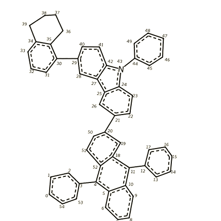 c1ccc(-c2c3ccccc3c(-c3ccccc3)c3cc(-c4ccc5c(c4)c4cc(-c6cccc7c6CCCC7)ccc4n5-c4ccccc4)ccc23)cc1